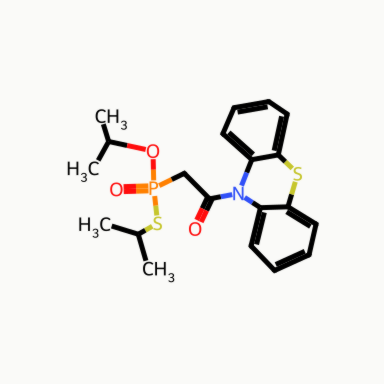 CC(C)OP(=O)(CC(=O)N1c2ccccc2Sc2ccccc21)SC(C)C